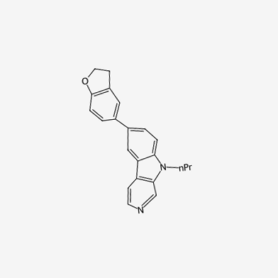 CCCn1c2ccc(-c3ccc4c(c3)CCO4)cc2c2ccncc21